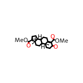 COC(=O)C1=C2CC[C@@H]3[C@@H](CC[C@]4(C)C(C(=O)OC)CC[C@@H]34)[C@@]2(C)CCC1=O